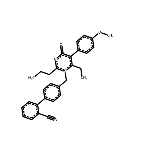 CCCc1nc(=O)c(-c2ccc(OC)cc2)c(CC)n1Cc1ccc(-c2ccccc2C#N)cc1